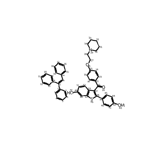 C(=C(c1ccccc1)c1ccccc1)c1ccccc1.O=C(c1ccc(OCCN2CCCCC2)cc1)c1c(-c2ccc(O)cc2)sc2cc(O)ccc12